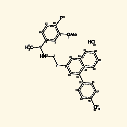 COc1cc(C(C)NCCc2cc(-c3ccc(C(F)(F)F)cc3)c3ccccc3c2)ccc1F.Cl